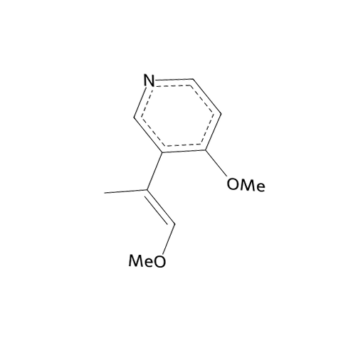 COC=C(C)c1cnccc1OC